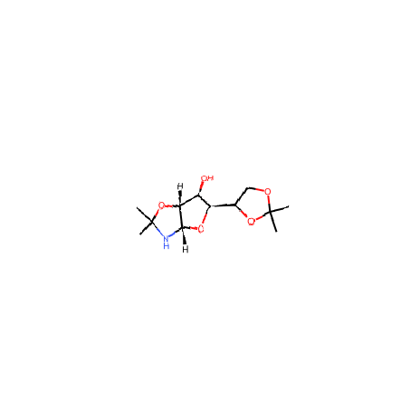 CC1(C)N[C@H]2O[C@H](C3COC(C)(C)O3)[C@H](O)[C@H]2O1